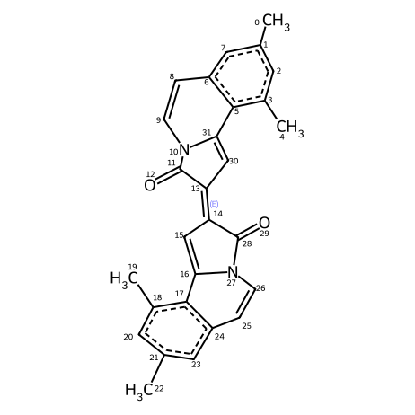 Cc1cc(C)c2c(c1)C=CN1C(=O)/C(=C3\C=C4c5c(C)cc(C)cc5C=CN4C3=O)C=C21